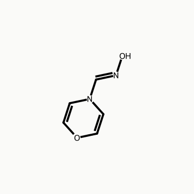 ON=CN1C=COC=C1